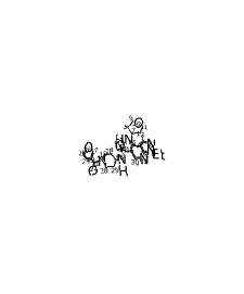 CCn1ncc2c(NC3CCOCC3)c(C(=O)NC3CCN(C(=O)c4ccoc4)CC3)cnc21